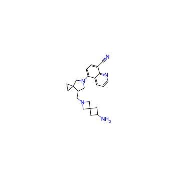 N#Cc1ccc(N2CC(CN3CC4(CC(N)C4)C3)C3(CC3)C2)c2cccnc12